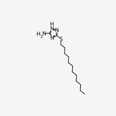 CCCCCCCCCCCCSc1n[nH]c(N)n1